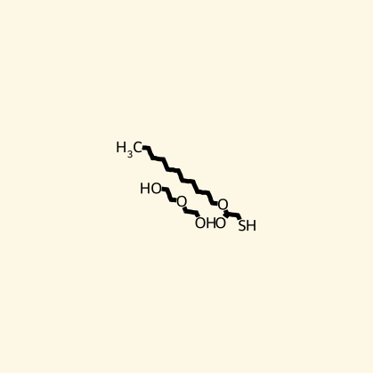 CCCCCCCCCCCOC(=O)CS.OCCOCCO